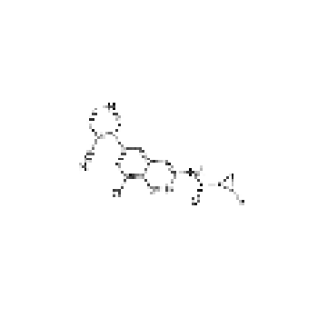 N#Cc1ccncc1-c1cc(Cl)c2nnc(NC(=O)[C@@H]3C[C@@H]3F)cc2c1